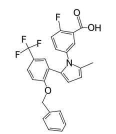 Cc1ccc(-c2cc(C(F)(F)F)ccc2OCc2ccccc2)n1-c1ccc(F)c(C(=O)O)c1